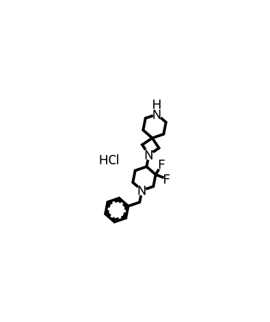 Cl.FC1(F)CN(Cc2ccccc2)CCC1N1CC2(CCNCC2)C1